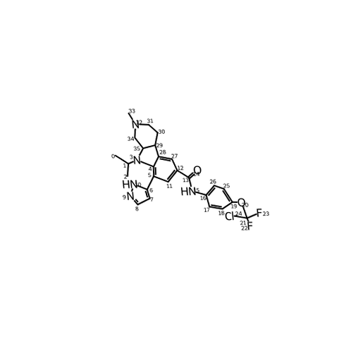 CC(C)N1c2c(-c3ccn[nH]3)cc(C(=O)Nc3ccc(OC(F)(F)Cl)cc3)cc2C2CCN(C)CC21